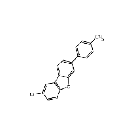 Cc1ccc(-c2ccc3c(c2)oc2ccc(Cl)cc23)cc1